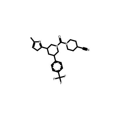 CC1=CCC(C2CC(c3ccc(C(F)(F)F)cc3)CN(C(=O)N3CCC(C#N)CC3)C2)=N1